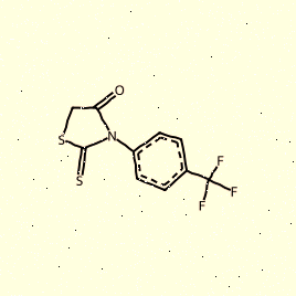 O=C1CSC(=S)N1c1ccc(C(F)(F)F)cc1